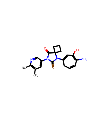 N#Cc1ncc(N2C(=O)C3(CCC3)N(C3=CC(O)=C(N)C=CC3)C2=S)cc1C(F)(F)F